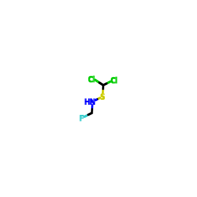 FCNSC(Cl)Cl